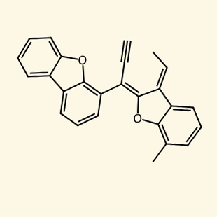 C#C/C(c1cccc2c1oc1ccccc12)=c1/oc2c(C)cccc2/c1=C/C